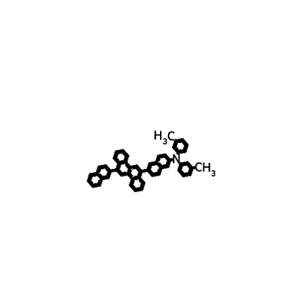 Cc1cccc(N(c2cccc(C)c2)c2ccc3cc(-c4cc5c6ccccc6c(-c6ccc7ccccc7c6)cc5c5ccccc45)ccc3c2)c1